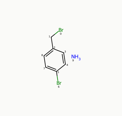 BrCc1ccc(Br)cc1.N